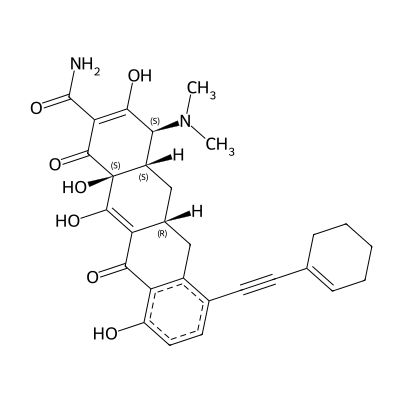 CN(C)[C@@H]1C(O)=C(C(N)=O)C(=O)[C@@]2(O)C(O)=C3C(=O)c4c(O)ccc(C#CC5=CCCCC5)c4C[C@H]3C[C@@H]12